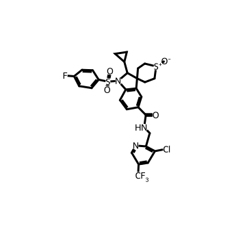 O=C(NCc1ncc(C(F)(F)F)cc1Cl)c1ccc2c(c1)C1(CC[S+]([O-])CC1)C(C1CC1)N2S(=O)(=O)c1ccc(F)cc1